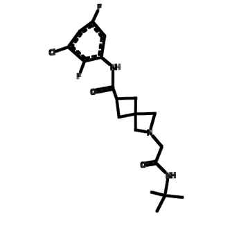 CC(C)(C)NC(=O)CN1CC2(CC(C(=O)Nc3cc(F)cc(Cl)c3F)C2)C1